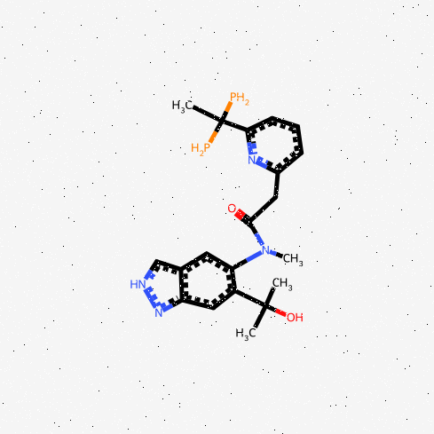 CN(C(=O)Cc1cccc(C(C)(P)P)n1)c1cc2c[nH]nc2cc1C(C)(C)O